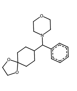 c1ccc(C(C2CCC3(CC2)OCCO3)N2CCOCC2)cc1